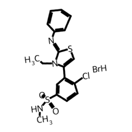 Br.CCn1c(-c2cc(S(=O)(=O)NC)ccc2Cl)csc1=Nc1ccccc1